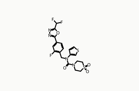 O=C(N1CCS(=O)(=O)CC1)N(Cc1ccc(-c2nnc(C(F)F)o2)cc1F)c1ccsc1